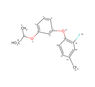 CC(Oc1cccc(Oc2ccc(C(F)(F)F)cc2F)c1)C(=O)O